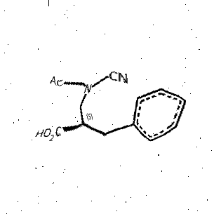 CC(=O)N(C#N)[C@@H](Cc1ccccc1)C(=O)O